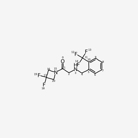 O=C(CNCc1ccccc1C(F)(F)F)N1CC(F)(F)C1